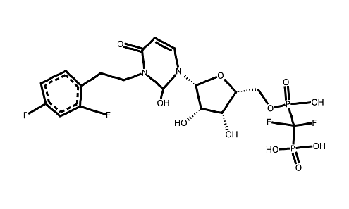 O=C1C=CN([C@@H]2O[C@H](COP(=O)(O)C(F)(F)P(=O)(O)O)[C@H](O)[C@@H]2O)C(O)N1CCc1ccc(F)cc1F